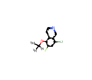 [2H]C([2H])([2H])Oc1c(F)cc(Cl)c2cnccc12